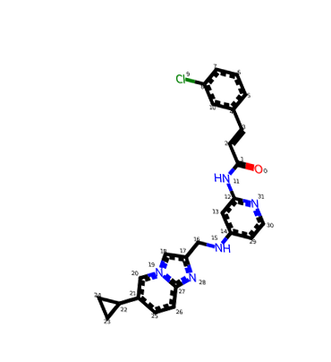 O=C(/C=C/c1cccc(Cl)c1)Nc1cc(NCc2cn3cc(C4CC4)ccc3n2)ccn1